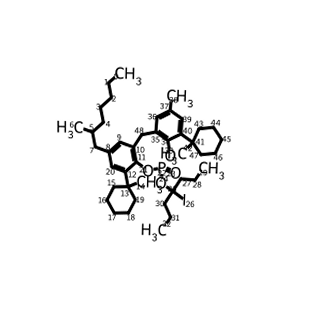 CCCCCC(C)Cc1cc2c(c(C3(C)CCCCC3)c1)OP(=O)(OC(I)(CCC)CCC)Oc1c(cc(C)cc1C1(C)CCCCC1)C2